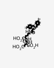 O=C(O)CC[C@H](NC(=O)N[C@@H](CCCCNC(=O)CCN(Cc1ccc(I)cc1)Cc1ccc(I)cc1)C(=O)O)C(=O)O